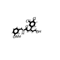 COc1cccc(CNC(=O)CC(CCO)c2ccc(Cl)c(Cl)c2)c1